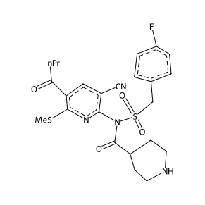 CCCC(=O)c1cc(C#N)c(N(C(=O)C2CCNCC2)S(=O)(=O)Cc2ccc(F)cc2)nc1SC